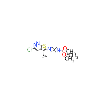 CC(C)(C)OC(=O)N1CC2(C1)CN(c1sc3nnc(Cl)cc3c1C1CC1)C2